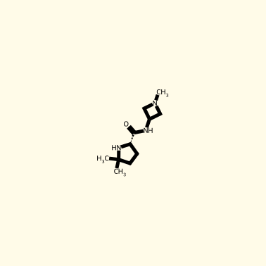 CN1CC(NC(=O)[C@@H]2CCC(C)(C)N2)C1